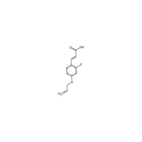 C=CCOc1ccc(/C=C/C(=O)O)c(F)c1